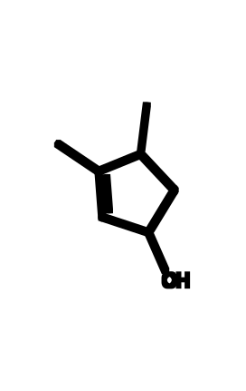 CC1=CC(O)CC1C